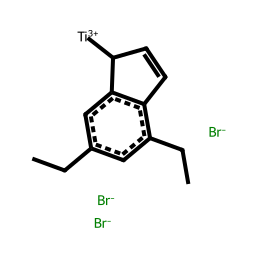 CCc1cc(CC)c2c(c1)[CH]([Ti+3])C=C2.[Br-].[Br-].[Br-]